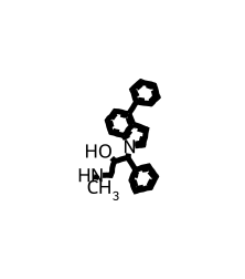 CNCC(O)C(c1ccccc1)n1ccc2c(-c3ccccc3)cccc21